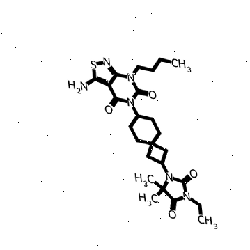 CCCCn1c(=O)n(C2CCC3(CC2)CC(N2C(=O)N(CC)C(=O)C2(C)C)C3)c(=O)c2c(N)snc21